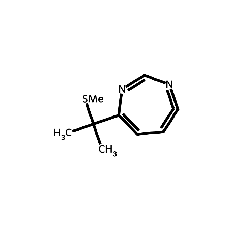 CSC(C)(C)C1=CC=C=NC=N1